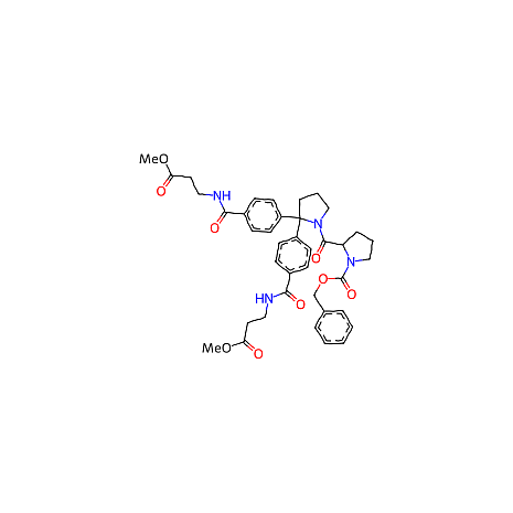 COC(=O)CCNC(=O)c1ccc(C2(c3ccc(C(=O)NCCC(=O)OC)cc3)CCCN2C(=O)C2CCCN2C(=O)OCc2ccccc2)cc1